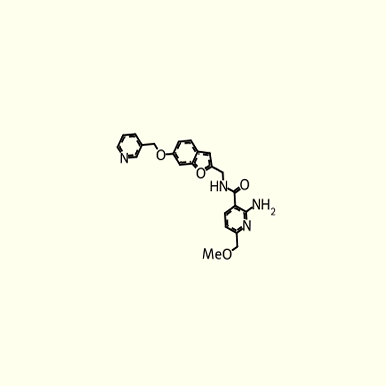 COCc1ccc(C(=O)NCc2cc3ccc(OCc4cccnc4)cc3o2)c(N)n1